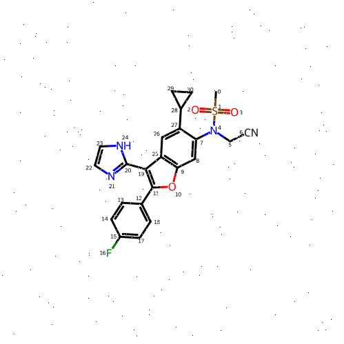 CS(=O)(=O)N(CC#N)c1cc2oc(-c3ccc(F)cc3)c(-c3ncc[nH]3)c2cc1C1CC1